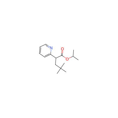 CC(C)OC(=O)C(CC(C)(C)C)c1ccccn1